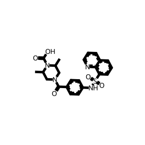 CC1CN(C(=O)c2ccc(NS(=O)(=O)c3cccc4cccnc34)cc2)CC(C)N1C(=O)O